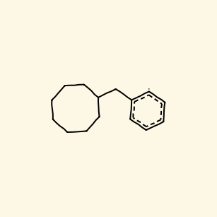 [c]1ccccc1CC1CCCCCCC1